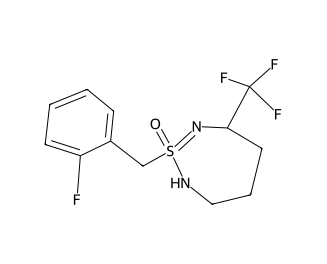 O=S1(Cc2ccccc2F)=NC(C(F)(F)F)CCCN1